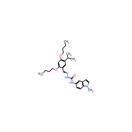 CCCCOc1cc(OCCCC)c(C(C)C)cc1/C=N/NC(=O)Nc1ccc2c(ccn2C)c1